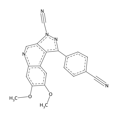 COc1cc2ncc3c(c(-c4ccc(C#N)cc4)nn3C#N)c2cc1OC